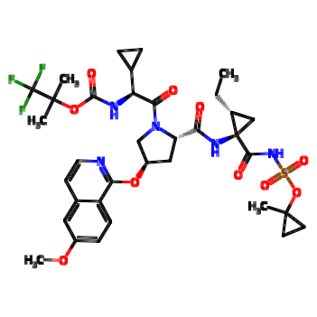 CC[C@@H]1C[C@]1(NC(=O)[C@@H]1C[C@@H](Oc2nccc3cc(OC)ccc23)CN1C(=O)[C@@H](NC(=O)OC(C)(C)C(F)(F)F)C1CC1)C(=O)NS(=O)(=O)OC1(C)CC1